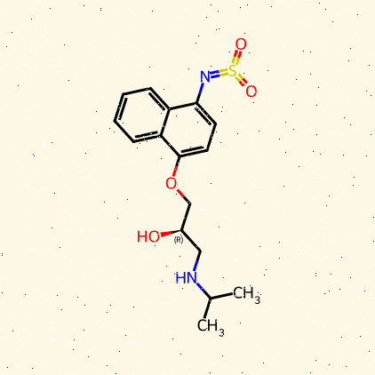 CC(C)NC[C@@H](O)COc1ccc(N=S(=O)=O)c2ccccc12